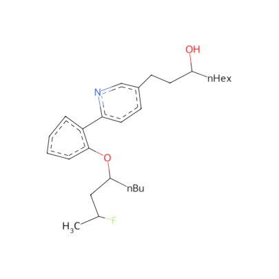 CCCCCCC(O)CCc1ccc(-c2ccccc2OC(CCCC)CC(C)F)nc1